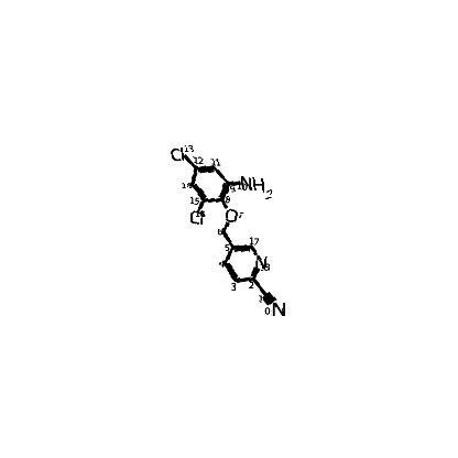 N#Cc1ccc(COc2c(N)cc(Cl)cc2Cl)cn1